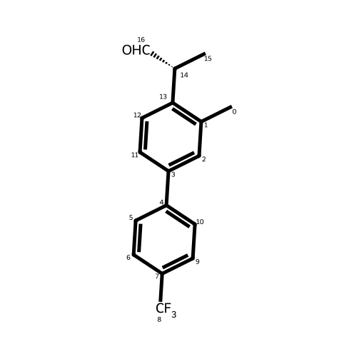 Cc1cc(-c2ccc(C(F)(F)F)cc2)ccc1[C@@H](C)C=O